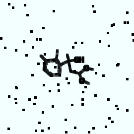 COC(CC(C)(O)c1cccc(C)c1C)OC